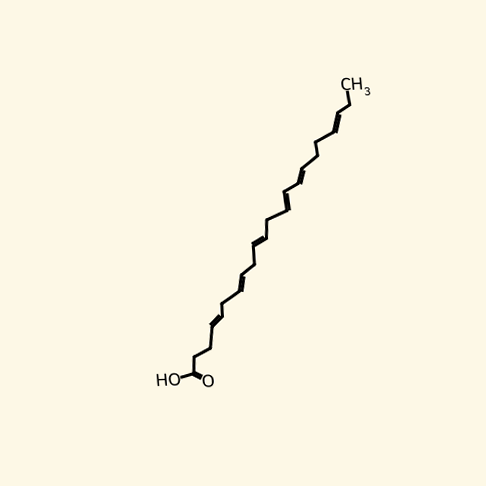 CCC=CCCC=CC=CCC=CCC=CCC=CCCC(=O)O